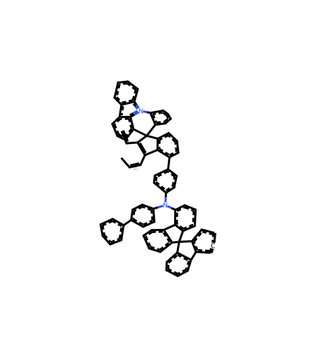 C=CC1=C(/C=C\C)c2c(-c3ccc(N(c4ccc(-c5ccccc5)cc4)c4cccc5c4-c4ccccc4C54c5ccccc5-c5ccccc54)cc3)cccc2C12c1ccccc1-n1c3ccccc3c3cccc2c31